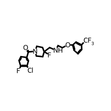 O=C(c1ccc(F)c(Cl)c1)N1CCC(F)(CNCCOc2cccc(C(F)(F)F)c2)CC1